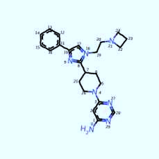 Nc1cc(N2CCC(c3nc(-c4ccccc4)cn3CCN3CCC3)CC2)ncn1